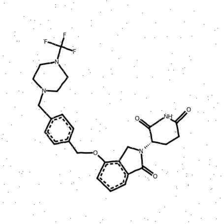 O=C1CC[C@H](N2Cc3c(OCc4ccc(CN5CCN(C(F)(F)F)CC5)cc4)cccc3C2=O)C(=O)N1